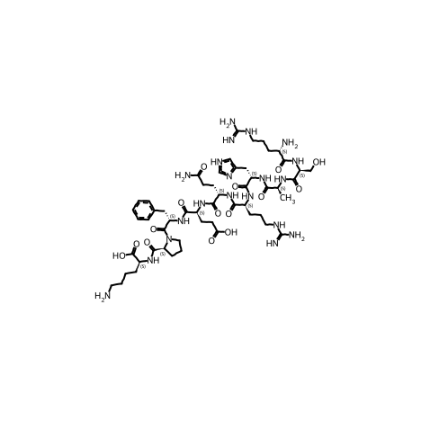 C[C@H](NC(=O)[C@H](CO)NC(=O)[C@@H](N)CCCNC(=N)N)C(=O)N[C@@H](Cc1c[nH]cn1)C(=O)N[C@@H](CCCNC(=N)N)C(=O)N[C@@H](CCC(N)=O)C(=O)N[C@@H](CCC(=O)O)C(=O)N[C@@H](Cc1ccccc1)C(=O)N1CCC[C@H]1C(=O)N[C@@H](CCCCN)C(=O)O